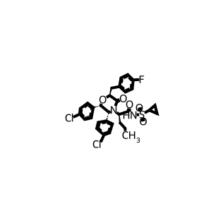 CCC[C@H](C(=O)NS(=O)(=O)C1CC1)N1C(=O)[C@H](Cc2ccc(F)cc2)O[C@@H](c2ccc(Cl)cc2)[C@H]1c1ccc(Cl)cc1